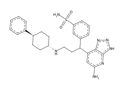 Nc1cc(C(CCN[C@H]2CC[C@H](c3ccccc3)CC2)c2cccc(S(N)(=O)=O)c2)c2nn[nH]c2n1